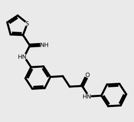 N=C(Nc1cccc(CCC(=O)Nc2ccccc2)c1)c1cccs1